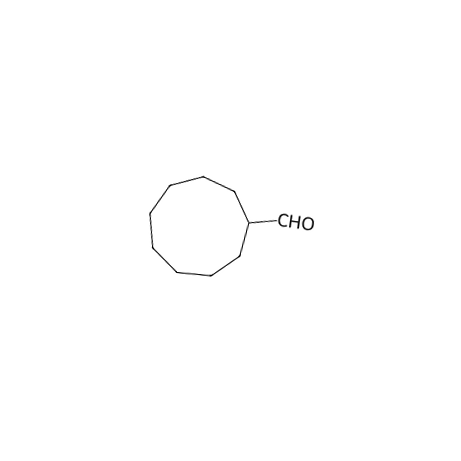 O=CC1CCCCCCCC1